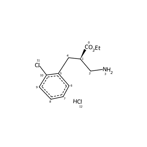 CCOC(=O)[C@@H](CN)Cc1ccccc1Cl.Cl